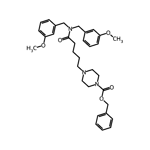 COc1cccc(CN(Cc2cccc(OC)c2)C(=O)CCCCN2CCN(C(=O)OCc3ccccc3)CC2)c1